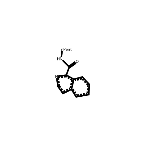 CCCCCNC(=O)c1nccc2ccccc12